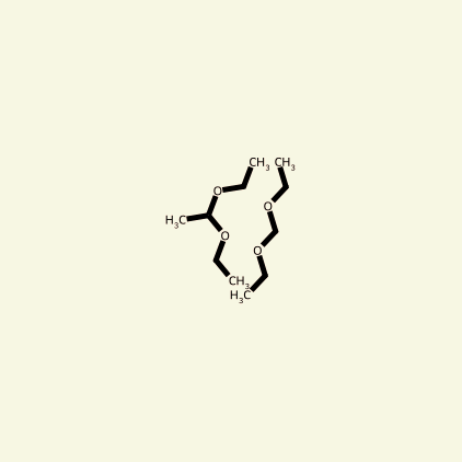 CCOC(C)OCC.CCOCOCC